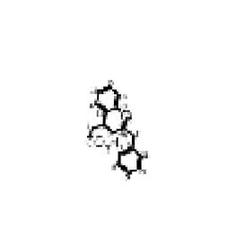 O=C(O)CC1C[C@H](Cc2ccccc2)Oc2ccccc21